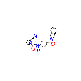 N#C[C@@H]1CCCN1C(=O)CNC1CCC(C(=O)N2Cc3ccccc3C2)CC1